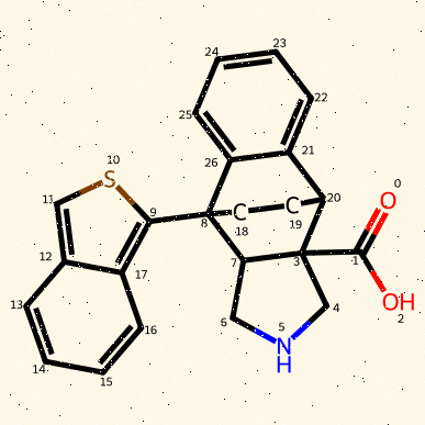 O=C(O)C12CNCC1C1(c3scc4ccccc34)CCC2c2ccccc21